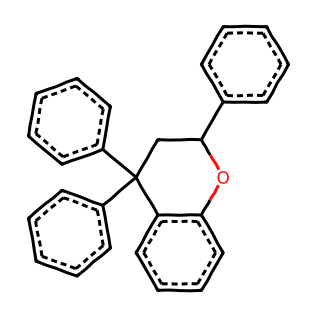 c1ccc(C2CC(c3ccccc3)(c3ccccc3)c3ccccc3O2)cc1